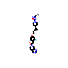 CC(C)c1noc(N2CCC([C@H]3C[C@H]3CCOc3ccc(CC(=O)N4CCc5cncnc5C4)c(F)c3)CC2)n1